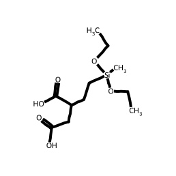 CCO[Si](C)(CCC(CC(=O)O)C(=O)O)OCC